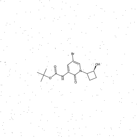 CC(C)(C)OC(=O)Nc1cc(Br)cn(C2CC[C@@H]2O)c1=O